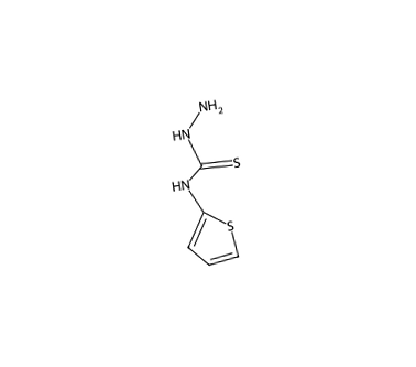 NNC(=S)Nc1cccs1